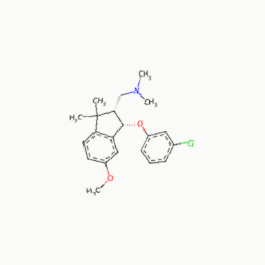 COc1ccc2c(c1)[C@@H](Oc1cccc(Cl)c1)[C@@H](CN(C)C)C2(C)C